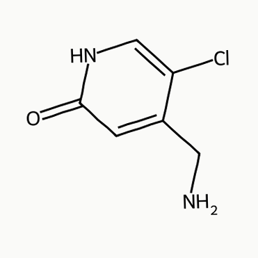 NCc1cc(=O)[nH]cc1Cl